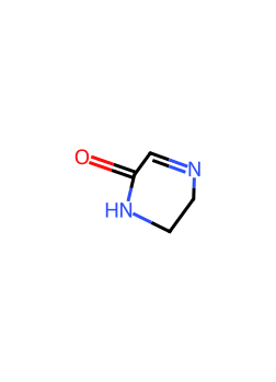 O=C1C=NCCN1